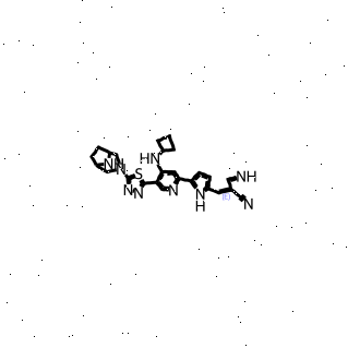 N#C/C(C=N)=C/c1ccc(-c2cc(NC3CCC3)c(-c3nnc(N4CC5CCC(C4)N5)s3)cn2)[nH]1